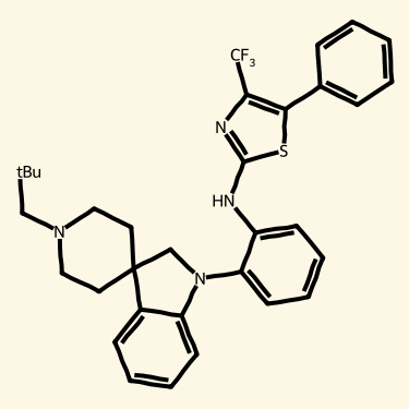 CC(C)(C)CN1CCC2(CC1)CN(c1ccccc1Nc1nc(C(F)(F)F)c(-c3ccccc3)s1)c1ccccc12